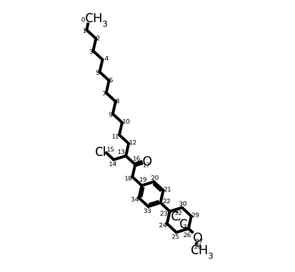 CCCCCCCCCCCCCC(CCl)C(=O)Cc1ccc(C23CCC(OC)(CC2)CC3)cc1